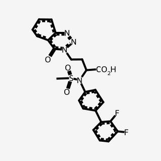 CS(=O)(=O)N(c1ccc(-c2cccc(F)c2F)cc1)C(CCn1nnc2ccccc2c1=O)C(=O)O